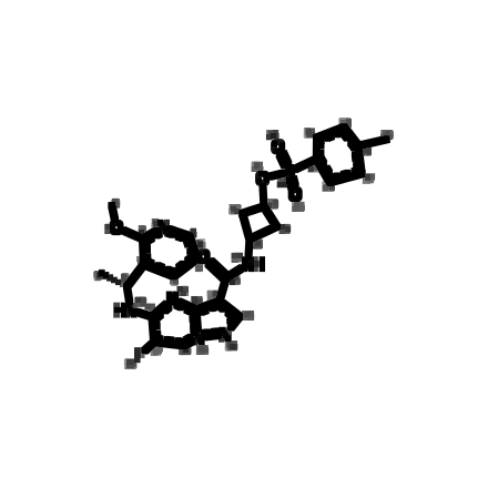 COc1ncccc1[C@@H](C)Nc1nc2c(C(=O)NC3CC(OS(=O)(=O)c4ccc(C)cc4)C3)cnn2cc1F